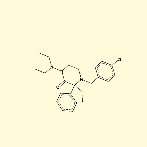 CCN(CC)N1CCN(Cc2ccc(Cl)cc2)C(CC)(c2ccccc2)C1=O